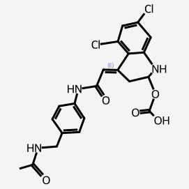 CC(=O)NCc1ccc(NC(=O)/C=C2\CC(OC(=O)O)Nc3cc(Cl)cc(Cl)c32)cc1